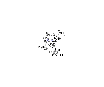 CCn1nc(C)cc1C(=O)/N=c1/[nH]c2cc(C(N)=O)cc(OC)c2n1C/C=C/Cn1/c(=N/C(=O)c2cc(C)nn2CC)[nH]c2cc(C(N)O)cc(OCCCO[C@@H]3[C@@H](O)[C@@H](OC)O[C@H](CO)[C@H]3O)c21